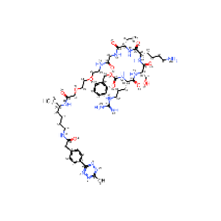 Cc1nnc(-c2ccc(CC(=O)NCCCC[C@H](NC(=O)COCCOCCNC(=O)CNC(=O)[C@H](CC(C)C)NC(=O)[C@H](CCCCN)NC(=O)[C@H](CO)NC(=O)[C@H](CCCNC(=N)N)NC(=O)OCc3ccccc3)C(=O)O)cc2)nn1